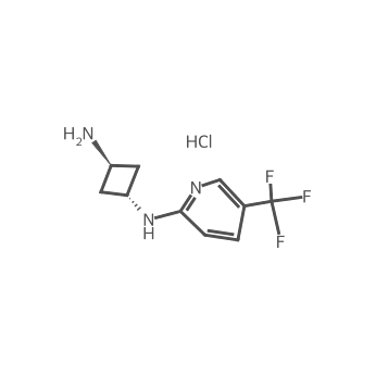 Cl.N[C@H]1C[C@H](Nc2ccc(C(F)(F)F)cn2)C1